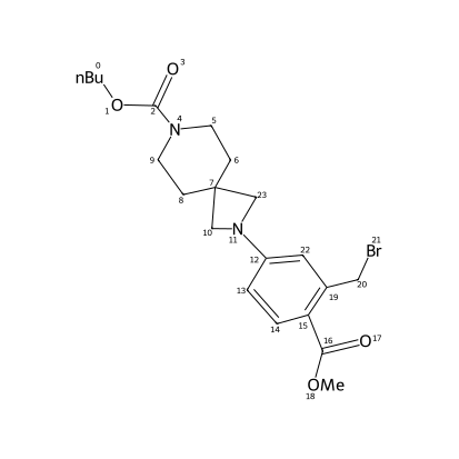 CCCCOC(=O)N1CCC2(CC1)CN(c1ccc(C(=O)OC)c(CBr)c1)C2